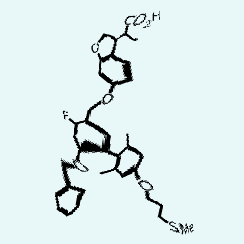 CSCCCOc1cc(C)c(-c2cc(COc3ccc4c(c3)OC[C@H]4C(C)C(=O)O)c(F)cc2OCc2ccccc2)c(C)c1